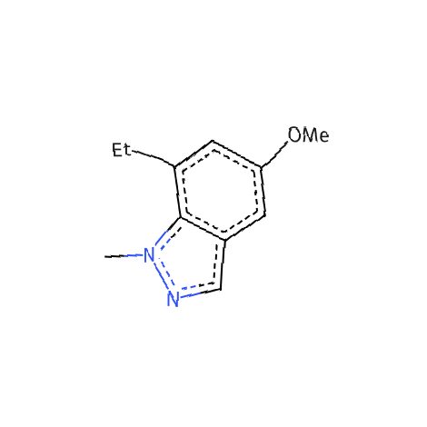 CCc1cc(OC)cc2cnn(C)c12